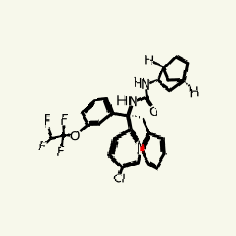 O=C(N[C@@H]1C[C@@H]2CC[C@@H]1C2)N[C@](Cc1ccccc1)(c1cccc(OC(F)(F)C(F)F)c1)c1ccc(Cl)cn1